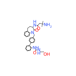 CC(C)(N)CC(=O)N[C@@H]1CCc2ccccc2N(Cc2ccc(-c3ccccc3NC(=O)NCCO)cc2)C1=O